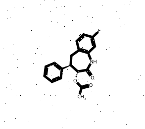 CC(=O)O[C@H]1C(=O)Nc2cc(F)ccc2C[C@@H]1c1ccccc1